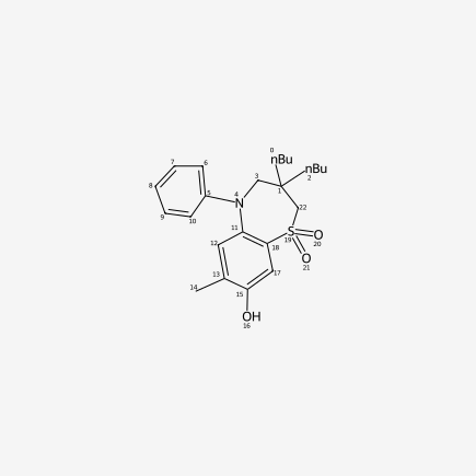 CCCCC1(CCCC)CN(c2ccccc2)c2cc(C)c(O)cc2S(=O)(=O)C1